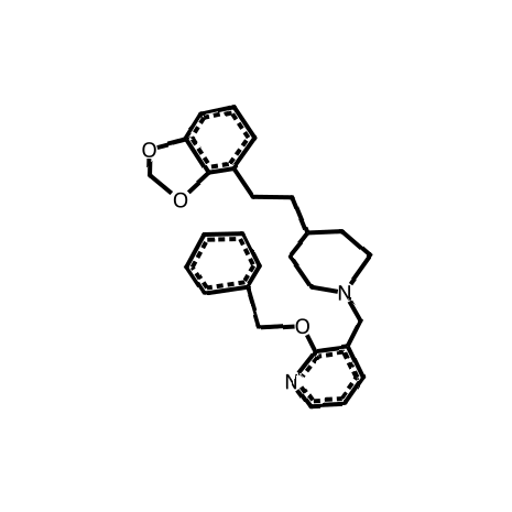 c1ccc(COc2ncccc2CN2CCC(CCc3cccc4c3OCO4)CC2)cc1